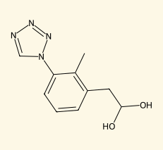 Cc1c(CC(O)O)cccc1-n1cnnn1